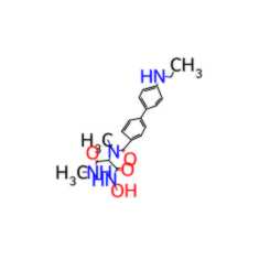 CCNc1ccc(-c2ccc(C(=O)N(C)C(C(=O)NC)C(=O)NO)cc2)cc1